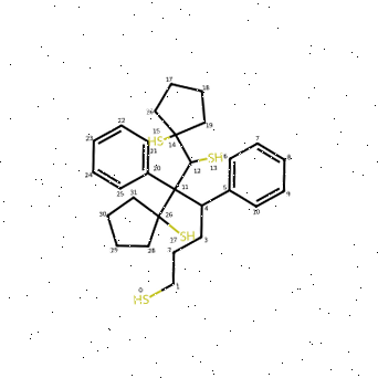 S[CH]CCC(c1ccccc1)C([C](S)C1(S)CCCC1)(c1ccccc1)C1(S)CCCC1